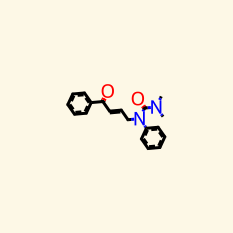 CN(C)C(=O)N(CC=CC(=O)c1ccccc1)c1ccccc1